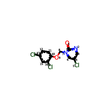 O=c1ncc(Cl)cn1COc1ccc(Cl)cc1Cl